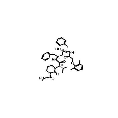 Cc1cccc(C)c1OCC(=O)N[C@@H](Cc1ccccc1)[C@@H](O)C[C@H](Cc1ccccc1)NC(=O)[C@H](C(C)C)N1CCCN(C(N)=O)C1=O